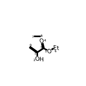 C=C(O)C(=O)OCC.CC